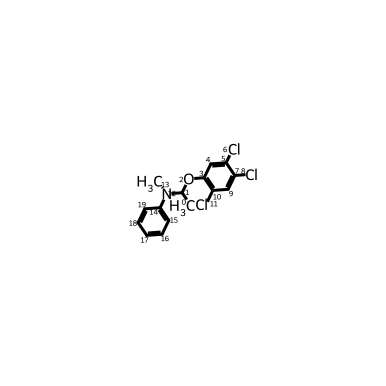 CC(Oc1cc(Cl)c(Cl)cc1Cl)N(C)c1ccccc1